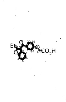 CCc1oc2ccccc2c1C(=O)c1ccc(OCC(=O)O)cc1